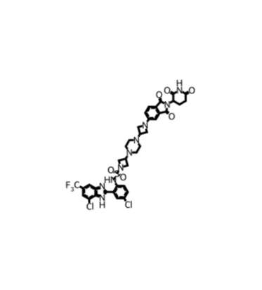 O=C1CCC(N2C(=O)c3ccc(N4CC(N5CCN(C6CN(S(=O)(=O)Nc7ccc(Cl)cc7-c7nc8cc(C(F)(F)F)cc(Cl)c8[nH]7)C6)CC5)C4)cc3C2=O)C(=O)N1